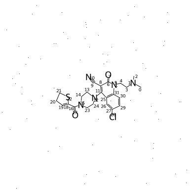 CN(C)CCn1c(=O)c(C#N)c(N2CCN(C(=O)C3=CCCS3)CC2)c2cc(Cl)ccc21